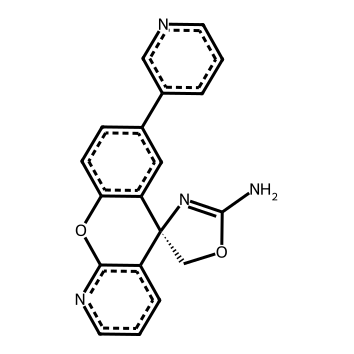 NC1=N[C@]2(CO1)c1cc(-c3cccnc3)ccc1Oc1ncccc12